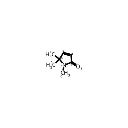 CN1C(=O)C=CC1(C)C